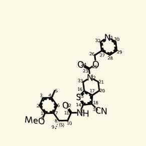 COc1ccc(C)cc1[C@@H](C)CC(=O)Nc1sc2c(c1C#N)CCN(C(=O)OCc1cccnc1)C2